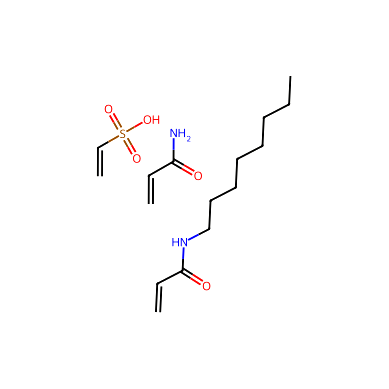 C=CC(=O)NCCCCCCCC.C=CC(N)=O.C=CS(=O)(=O)O